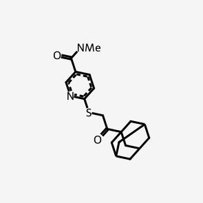 CNC(=O)c1ccc(SCC(=O)C23CC4CC(CC(C4)C2)C3)nc1